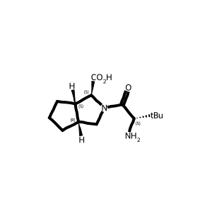 CC(C)(C)[C@H](N)C(=O)N1C[C@@H]2CCC[C@@H]2[C@H]1C(=O)O